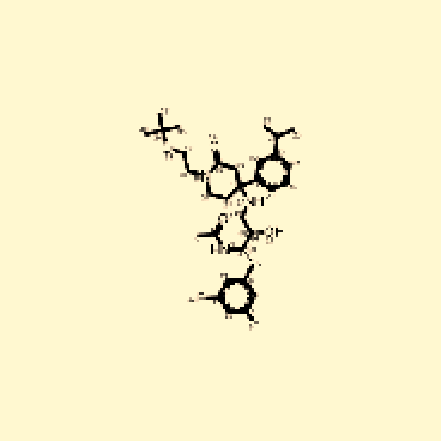 CC(=O)N[C@@H](Cc1cc(F)cc(F)c1)[C@H](O)CNC1(c2cccc(C(C)C)c2)CCN(CCOC(C)(C)C)C(=O)C1